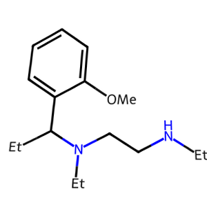 CCNCCN(CC)C(CC)c1ccccc1OC